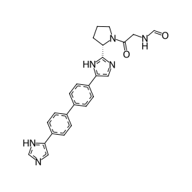 O=CNCC(=O)N1CCC[C@H]1c1ncc(-c2ccc(-c3ccc(-c4cnc[nH]4)cc3)cc2)[nH]1